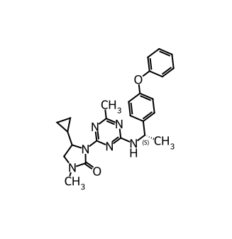 Cc1nc(N[C@@H](C)c2ccc(Oc3ccccc3)cc2)nc(N2C(=O)N(C)CC2C2CC2)n1